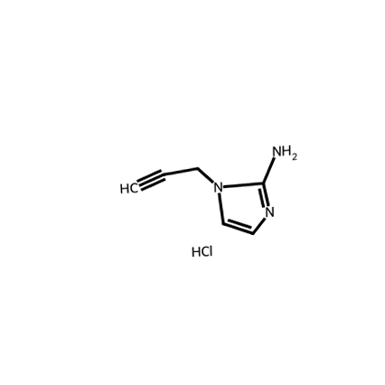 C#CCn1ccnc1N.Cl